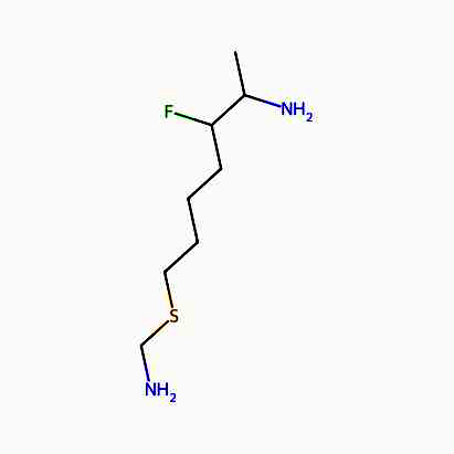 CC(N)C(F)CCCCSCN